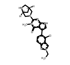 CCn1cc2c(Cl)c(-c3c[nH]c4nc(N5C[C@H]6CN[C@H](C6)C5)n(C)c(=O)c34)ccc2n1